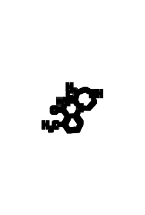 Cc1cccc2c1C(=O)N[C@]1(C)CCNCCN21